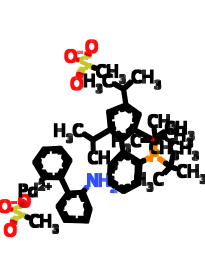 CC(C)c1cc(C(C)C)c(-c2ccccc2P(C(C)(C)C)C(C)(C)C)c(C(C)C)c1.CS(=O)(=O)[O-].CS(=O)(=O)[O-].Nc1ccccc1-c1cccc[c]1[Pd+2]